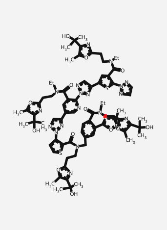 CCN(CCc1nc(C(C)(C)O)c(C)o1)C(=O)c1ccc(CN(CCc2nc(C(C)(C)O)c(C)o2)C(=O)c2sccc2-n2ncc(-c3cnc(-n4ncc(-c5cc(C(=O)N(CC)CCc6nc(C(C)(C)O)c(C)o6)c(-n6nccn6)s5)n4)c(C(=O)N(CC)CCc4nc(C(C)(C)O)c(C)o4)c3)n2)cc1-c1nc(C)no1